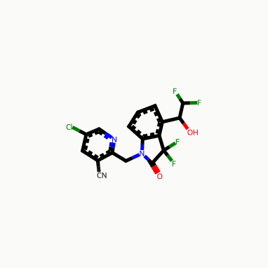 N#Cc1cc(Cl)cnc1CN1C(=O)C(F)(F)c2c(C(O)C(F)F)cccc21